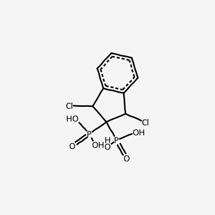 O=P(O)(O)C1(P(=O)(O)O)C(Cl)c2ccccc2C1Cl